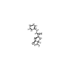 CC(C)[C@]1(C)SC(NCCc2ccccc2)=NC1=O